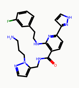 NCCCn1nccc1CNC(=O)c1ccc(-c2cc[nH]n2)nc1NCCc1cccc(F)c1